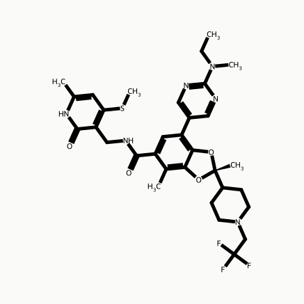 CCN(C)c1ncc(-c2cc(C(=O)NCc3c(SC)cc(C)[nH]c3=O)c(C)c3c2O[C@](C)(C2CCN(CC(F)(F)F)CC2)O3)cn1